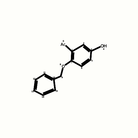 CC(=O)c1cc(O)ccc1OCc1ccccc1